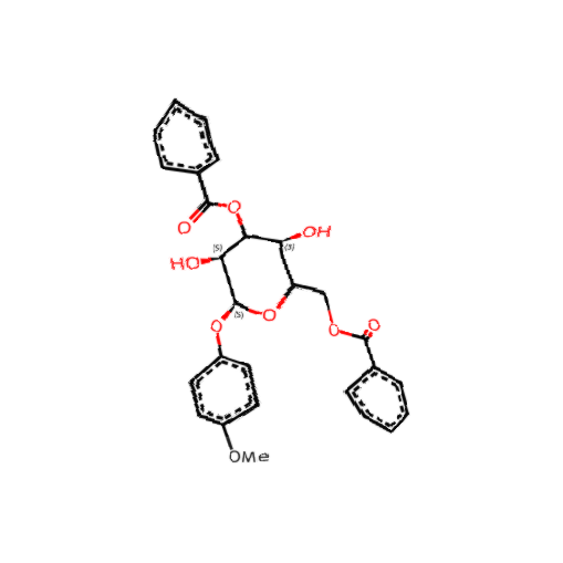 COc1ccc(O[C@@H]2OC(COC(=O)c3ccccc3)[C@H](O)C(OC(=O)c3ccccc3)[C@@H]2O)cc1